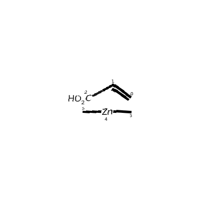 C=CC(=O)O.[CH3][Zn][CH3]